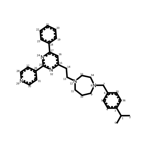 CC(C)c1ccc(CN2CCCN(CCc3cc(-c4ccccc4)nc(-c4ccncc4)n3)CC2)cc1